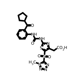 Cn1nnnc1S(=O)(=O)c1sc(NC(=O)Nc2ccccc2C(=O)C2CCCC2)nc1CC(=O)O